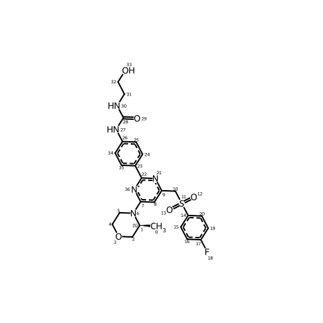 C[C@H]1COCCN1c1cc(CS(=O)(=O)c2ccc(F)cc2)nc(-c2ccc(NC(=O)NCCO)cc2)n1